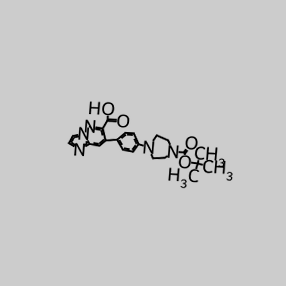 CC(C)(C)OC(=O)N1CCN(c2ccc(-c3cc4nccn4nc3C(=O)O)cc2)CC1